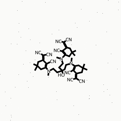 CN(CCC(O)(CCN(C)C1=C(C#N)C(=C(C#N)C#N)CC(C)(C)C1)CCN(C)C1=C(C#N)C(=C(C#N)C#N)CC(C)(C)C1)C1=C(C#N)C(=C(C#N)C#N)CC(C)(C)C1